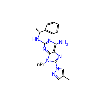 CCCn1c(-n2cc(C)cn2)nc2c(N)nc(N[C@@H](C)c3ccccc3)nc21